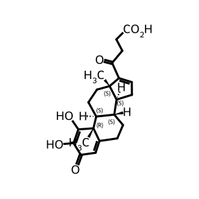 C[C@@]12C(=CC(=O)C(O)=C1O)CC[C@@H]1[C@@H]2CC[C@]2(C)C(C(=O)CCC(=O)O)=CC[C@@H]12